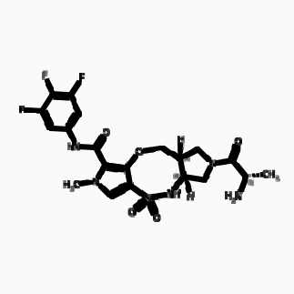 C[C@H](N)C(=O)N1C[C@H]2COc3c(cn(C)c3C(=O)Nc3cc(F)c(F)c(F)c3)S(=O)(=O)N[C@H]2C1